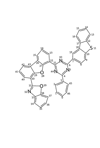 c1ccc(-c2nc(-c3ccc4sc5ccccc5c4c3)nc(-c3cccc4c3oc3c(-c5nc6ccccc6o5)cccc34)n2)cc1